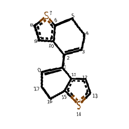 C1=C(C2=CCCc3sccc32)c2ccsc2CC1